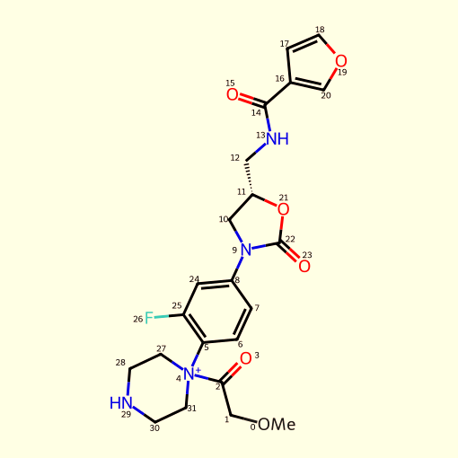 COCC(=O)[N+]1(c2ccc(N3C[C@H](CNC(=O)c4ccoc4)OC3=O)cc2F)CCNCC1